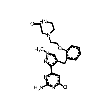 Cn1cc(Cc2ccccc2OCCN2CCNC(=O)C2)c(-c2cc(Cl)nc(N)n2)n1